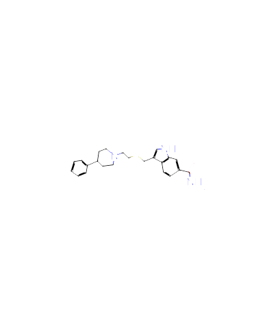 NC(=O)c1ccc2c(CSCCN3CCC(c4ccccc4)CC3)c[nH]c2c1